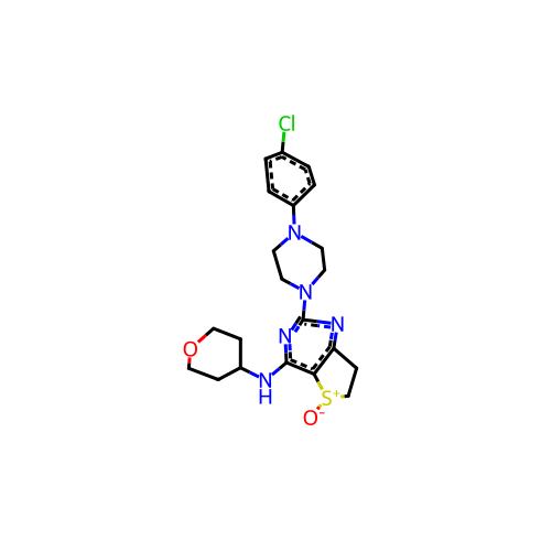 [O-][S+]1CCc2nc(N3CCN(c4ccc(Cl)cc4)CC3)nc(NC3CCOCC3)c21